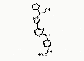 N#CCC(C1CCCC1)n1cc(-c2ccnc(Nc3ccc(NC(=O)O)cc3)n2)cn1